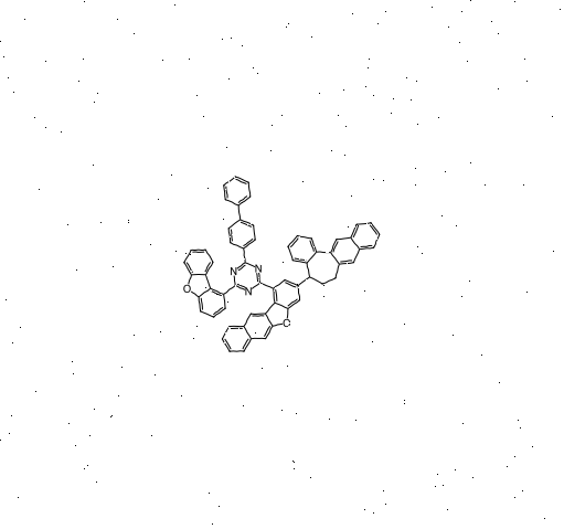 c1ccc(-c2ccc(-c3nc(-c4cccc5oc6ccccc6c45)nc(-c4cc(C5CCc6cc7ccccc7cc6-c6ccccc65)cc5oc6cc7ccccc7cc6c45)n3)cc2)cc1